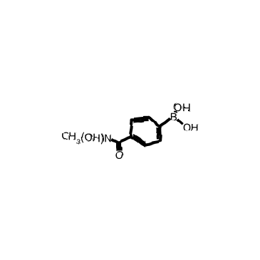 CN(O)C(=O)c1ccc(B(O)O)cc1